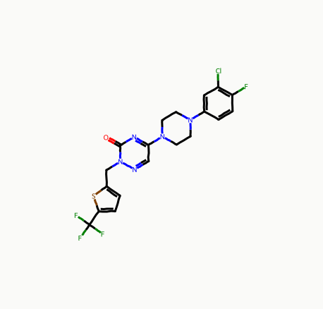 O=c1nc(N2CCN(c3ccc(F)c(Cl)c3)CC2)cnn1Cc1ccc(C(F)(F)F)s1